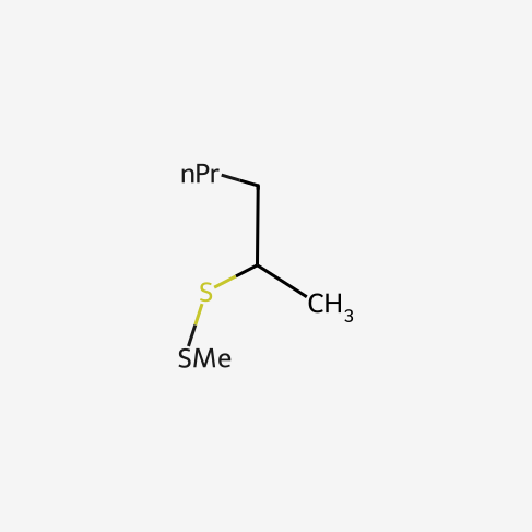 CCCCC(C)SSC